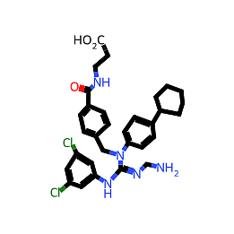 NC/N=C(/Nc1cc(Cl)cc(Cl)c1)N(Cc1ccc(C(=O)NCCC(=O)O)cc1)c1ccc(C2CCCCC2)cc1